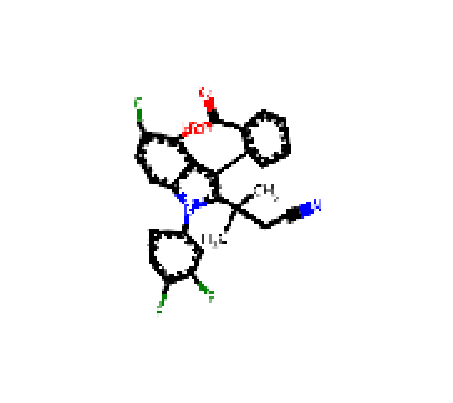 CC(C)(CC#N)c1c(-c2ccccc2C(=O)O)c2c(O)c(F)ccc2n1-c1ccc(F)c(F)c1